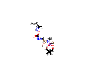 CCN([S+]([O-])CNC(=O)ON=C(C)SC)P1(=S)OCC(C)(C)CO1